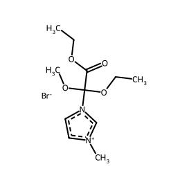 CCOC(=O)C(OC)(OCC)n1cc[n+](C)c1.[Br-]